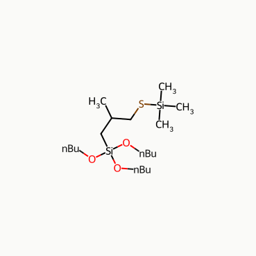 CCCCO[Si](CC(C)CS[Si](C)(C)C)(OCCCC)OCCCC